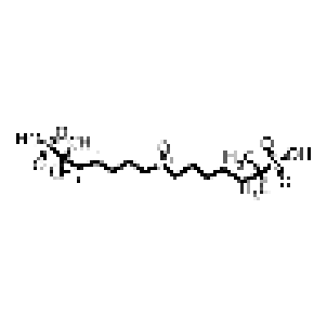 CC(C)(CCCCC[S+]([O-])CCCCCC(C)(C)S(=O)(=O)O)S(=O)(=O)O